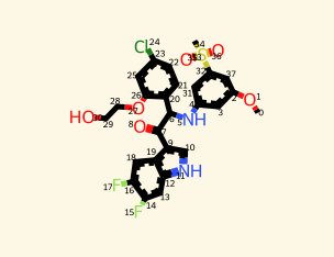 COc1cc(NC(C(=O)c2c[nH]c3cc(F)c(F)cc23)c2ccc(Cl)cc2OCCO)cc(S(C)(=O)=O)c1